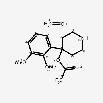 C=O.COc1cccc(C2(OC(=O)C(F)(F)F)CCNCC2)c1OC